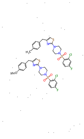 COc1ccc(Cc2csc(N3CCN(S(=O)(=O)c4ccc(F)cc4Cl)CC3)n2)cc1.Cc1ccc(Cc2csc(N3CCN(S(=O)(=O)c4ccc(F)cc4Cl)CC3)n2)cc1